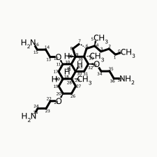 CCCC[C@H](C)[C@H]1CC[C@H]2[C@@H]3[C@H](OCCCN)C[C@@H]4C[C@H](OCCCN)CC[C@]4(C)[C@H]3C[C@H](OCCCN)[C@]12C